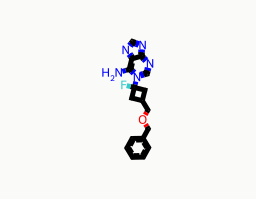 Nc1c2ncnc-2ncn1C1(F)CC(COCc2ccccc2)C1